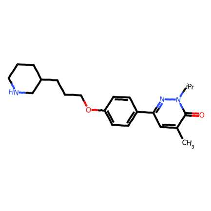 Cc1cc(-c2ccc(OCCCC3CCCNC3)cc2)nn(C(C)C)c1=O